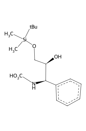 CC(C)(C)[Si](C)(C)OC[C@@H](O)[C@H](NC(=O)O)c1ccccc1